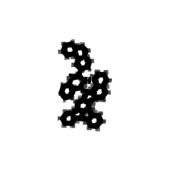 c1ccc2c(c1)N=C(c1ccc3ccc4ccccc4c3c1)N[C@H]2n1c2cc3c4ccccc4n4c5ccccc5c(c2c2ccc5ccccc5c21)c34